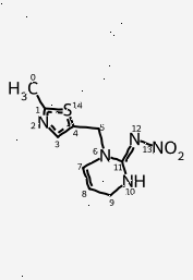 Cc1ncc(CN2C=CCNC2=N[N+](=O)[O-])s1